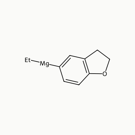 C[CH2][Mg][c]1ccc2c(c1)CCO2